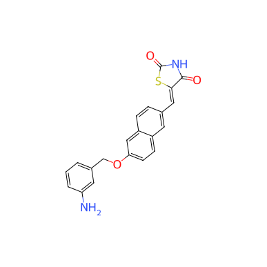 Nc1cccc(COc2ccc3cc(/C=C4\SC(=O)NC4=O)ccc3c2)c1